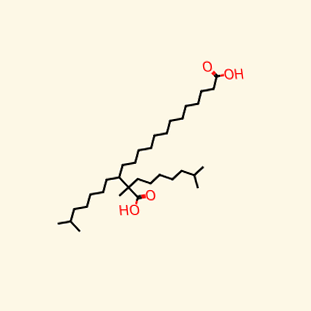 CC(C)CCCCCC(CCCCCCCCCCCCC(=O)O)C(C)(CCCCCC(C)C)C(=O)O